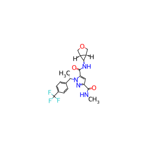 CNC(=O)c1cc(C(=O)N[C@H]2[C@@H]3COC[C@@H]32)n([C@@H](C)c2ccc(C(F)(F)F)cc2)n1